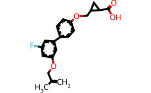 C=C(C)COc1cc(F)cc(-c2ccc(OCC3CC3C(=O)O)cc2)c1